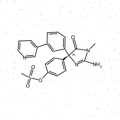 CN1C(=O)[C@@](c2ccc(OS(C)(=O)=O)cc2)(c2cccc(-c3cccnc3)c2)N=C1N